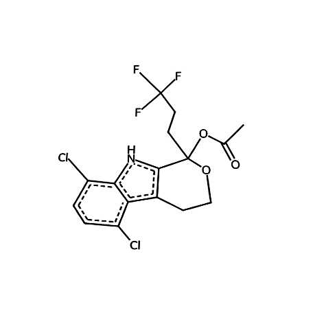 CC(=O)OC1(CCC(F)(F)F)OCCc2c1[nH]c1c(Cl)ccc(Cl)c21